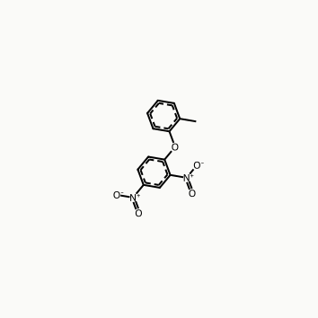 Cc1ccccc1Oc1ccc([N+](=O)[O-])cc1[N+](=O)[O-]